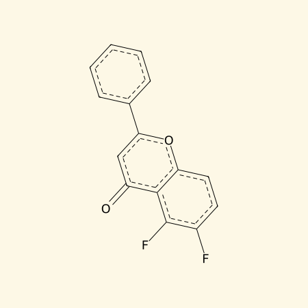 O=c1cc(-c2ccccc2)oc2ccc(F)c(F)c12